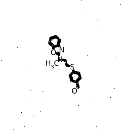 CN(CCSc1ccc(C=O)cc1)c1nc2ccccc2o1